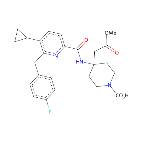 COC(=O)CC1(NC(=O)c2ccc(C3CC3)c(Cc3ccc(F)cc3)n2)CCN(C(=O)O)CC1